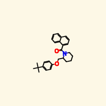 CC(C)(C)c1ccc(OCC2CCCCN2C(=O)c2cccc3ccccc23)cc1